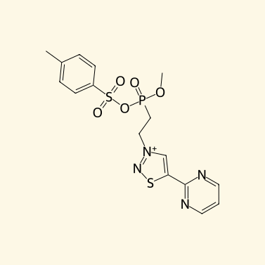 COP(=O)(CC[n+]1cc(-c2ncccn2)sn1)OS(=O)(=O)c1ccc(C)cc1